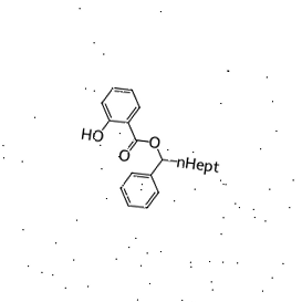 CCCCCCCC(OC(=O)c1ccccc1O)c1ccccc1